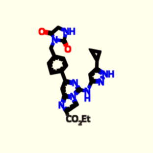 CCOC(=O)c1cn2c(Nc3cc(C4CC4)[nH]n3)nc(-c3ccc(CN4C(=O)CNC4=O)cc3)cc2n1